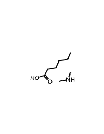 CCCCCC(=O)O.CNC